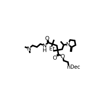 C=C1CCCN1C(C)CC(C)(CC(C)(CC)C(=O)NCCCN(C)C)C(=O)OCCCCCCCCCCCC